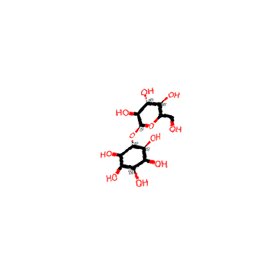 OCC1O[C@@H](O[C@H]2C(O)C(O)[C@H](O)C(O)[C@@H]2O)C(O)[C@H](O)[C@H]1O